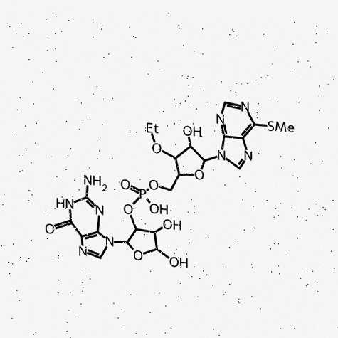 CCOC1C(COP(=O)(O)OC2C(O)C(O)OC2n2cnc3c(=O)[nH]c(N)nc32)OC(n2cnc3c(SC)ncnc32)C1O